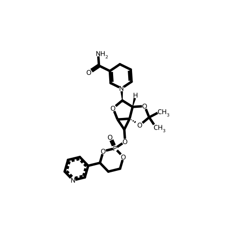 CC1(C)O[C@H]2[C@H](N3C=CCC(C(N)=O)=C3)OC3C(OP4(=O)OCCC(c5cccnc5)O4)[C@@]32O1